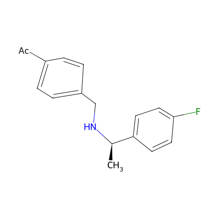 CC(=O)c1ccc(CN[C@H](C)c2ccc(F)cc2)cc1